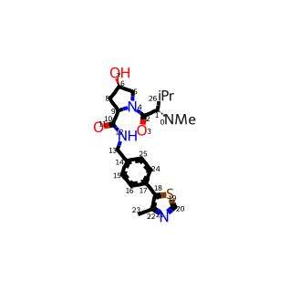 CN[C@H](C(=O)N1C[C@H](O)CC1C(=O)NCc1ccc(-c2scnc2C)cc1)C(C)C